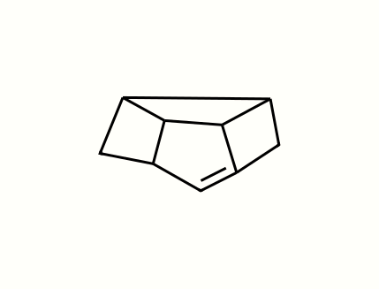 C1=C2CC3C4CC1C4C23